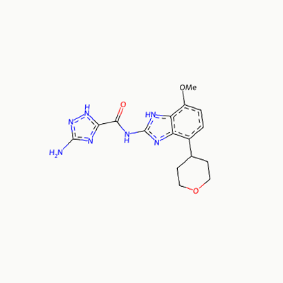 COc1ccc(C2CCOCC2)c2nc(NC(=O)c3nc(N)n[nH]3)[nH]c12